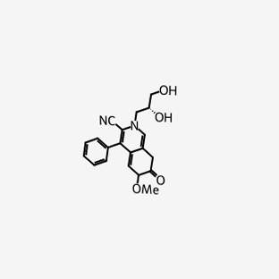 COC1C=C2C(=CN(C[C@@H](O)CO)C(C#N)=C2c2ccccc2)CC1=O